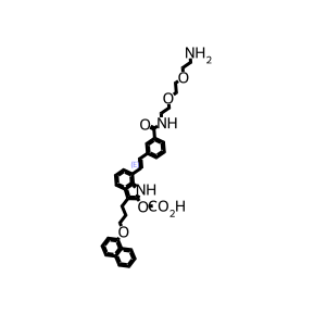 NCCOCCOCCNC(=O)c1cccc(/C=C/c2cccc3c(CCCOc4cccc5ccccc45)c(OC(=O)O)[nH]c23)c1